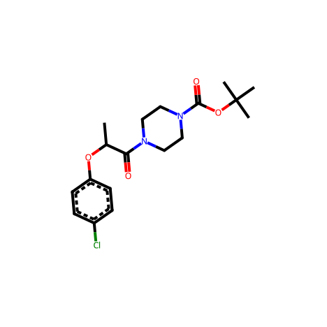 CC(Oc1ccc(Cl)cc1)C(=O)N1CCN(C(=O)OC(C)(C)C)CC1